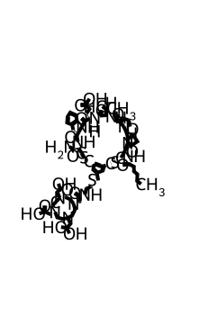 CCCCCC(=O)N[C@H]1CSCc2cc(CSCCNC(=O)CN3CCN(CC(=O)O)CCN(CC(=O)O)CCN(CC(O)O)CC3)cc(c2)CSC[C@@H](C(N)=O)NC(=O)[C@H](Cc2ccccc2)NC(=O)[C@H](CCC(=O)O)NC(=O)[C@H]([C@@H](C)O)NC(=O)[C@@H]2CCCN2C(=O)[C@@H]2CCCN2C1=O